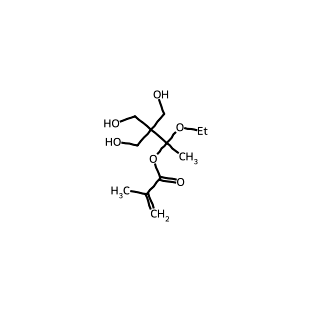 C=C(C)C(=O)OC(C)(OCC)C(CO)(CO)CO